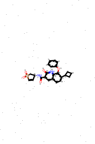 O=C(N[C@@H]1C=CS(=O)(=O)C1)c1cc2ccc(C3CCC3)c(Oc3ccccc3)c2[nH]c1=O